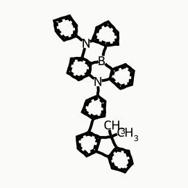 CC1(C)c2ccccc2-c2cccc(-c3ccc(N4c5ccccc5B5c6ccccc6N(c6ccccc6)c6cccc4c65)cc3)c21